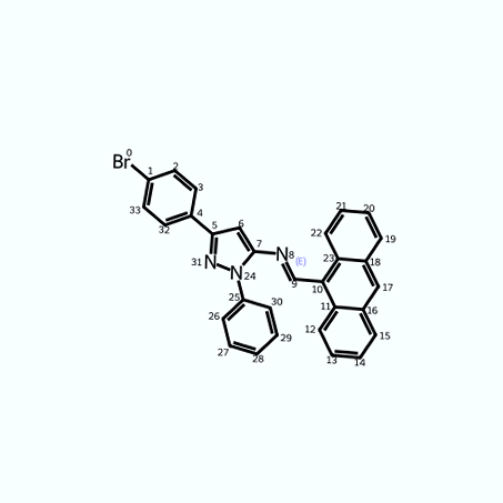 Brc1ccc(-c2cc(/N=C/c3c4ccccc4cc4ccccc34)n(-c3ccccc3)n2)cc1